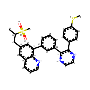 CSc1ccc(-c2nccnc2-c2cccc(-c3cc(CC(C)S(C)(=O)=O)cc4cccnc34)c2)cc1